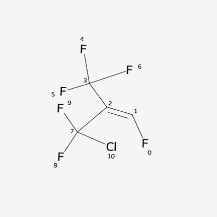 FC=C(C(F)(F)F)C(F)(F)Cl